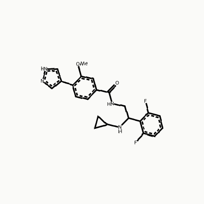 COc1cc(C(=O)NCC(NC2CC2)c2c(F)cccc2F)ccc1-c1cn[nH]c1